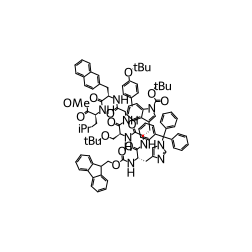 COC(=O)[C@H](CC(C)C)NC(=O)[C@@H](Cc1ccc2ccccc2c1)NC(=O)[C@H](Cc1ccc(OC(C)(C)C)cc1)NC(=O)[C@H](COC(C)(C)C)NC(=O)[C@H](Cc1cn(C(=O)OC(C)(C)C)c2ccccc12)NC(=O)[C@H](Cc1cn(C(c2ccccc2)(c2ccccc2)c2ccccc2)cn1)NC(=O)OCC1c2ccccc2-c2ccccc21